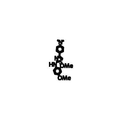 COc1ccc(Nc2nc(-c3ccc(N(C)C)cc3)cs2)c(OC)c1